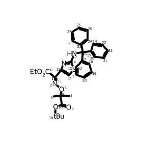 CCOC(=O)/C(=N/OC(C)(C)C(=O)OC(C)(C)C)c1csc(NC(c2ccccc2)(c2ccccc2)c2ccccc2)n1